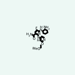 COCCOc1cc(Nc2nc(N[C@@H]3CCCC[C@@H]3N)c(F)cc2C(N)=O)ccn1